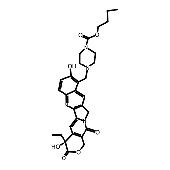 CCCCOC(=O)N1CCN(Cc2c(O)ccc3nc4c(cc23)Cn2c-4cc3c(c2=O)COC(=O)[C@]3(O)CC)CC1